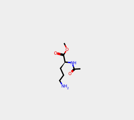 COC(=O)[C@H](CCCN)NC(C)=O